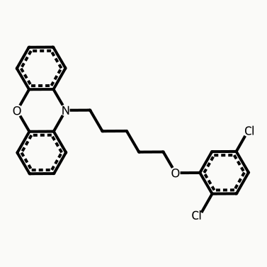 Clc1ccc(Cl)c(OCCCCCN2c3ccccc3Oc3ccccc32)c1